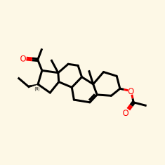 CC[C@@H]1CC2C3CC=C4CC(OC(C)=O)CCC4(C)C3CCC2(C)C1C(C)=O